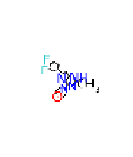 Cc1nc(N2CCOCC2)c2nc(-c3ccc(F)c(F)c3)cc-2[nH]1